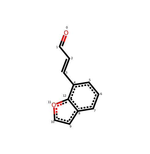 O=C/C=C/c1cccc2ccoc12